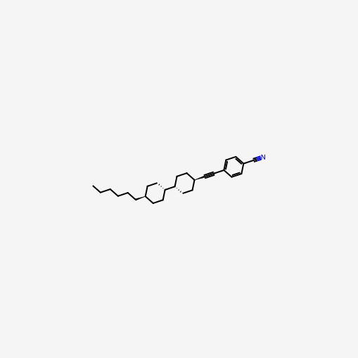 CCCCCC[C@H]1CC[C@H]([C@H]2CC[C@H](C#Cc3ccc(C#N)cc3)CC2)CC1